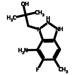 Cc1cc2c(c(N)c1F)N(CC(C)(C)O)NN2